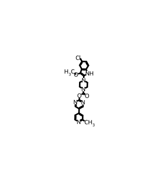 COc1c(N2CCN(C(=O)Oc3ncc(-c4ccnc(C)c4)cn3)CC2)[nH]c2ccc(Cl)cc12